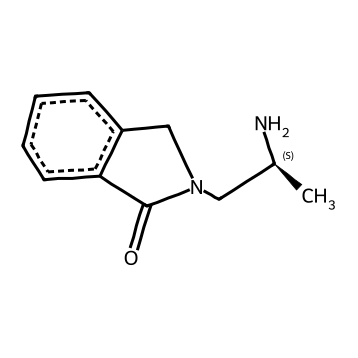 C[C@H](N)CN1Cc2ccccc2C1=O